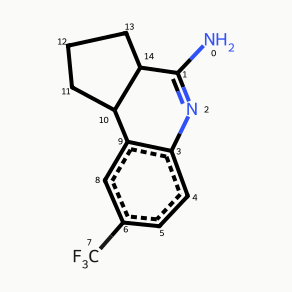 NC1=Nc2ccc(C(F)(F)F)cc2C2CCCC12